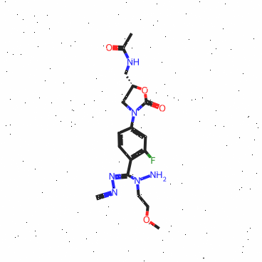 C=N/N=C(/c1ccc(N2C[C@H](CNC(C)=O)OC2=O)cc1F)N(N)CCOC